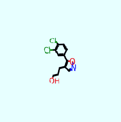 OCCCc1cnoc1-c1ccc(Cl)c(Cl)c1